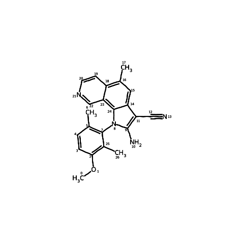 COc1ccc(C)c(-n2c(N)c(C#N)c3cc(C)c4ccncc4c32)c1C